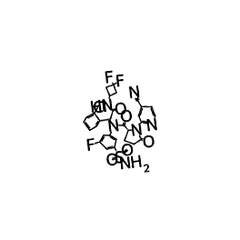 N#Cc1ccnc(N2C(=O)CC[C@H]2C(=O)N(c2cc(F)cc(S(N)(=O)=O)c2)C(C(=O)NC2CC(F)(F)C2)c2ccccc2Cl)c1